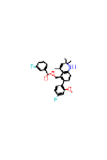 COc1cc(F)ccc1-c1ccc2c(c1COC(=O)c1cccc(F)c1)C(C)=CC(C)(C)N2